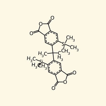 CC(C)(c1cc2c(cc1[Si](C)(C)C)C(=O)OC2=O)c1cc2c(cc1[Si](C)(C)C)C(=O)OC2=O